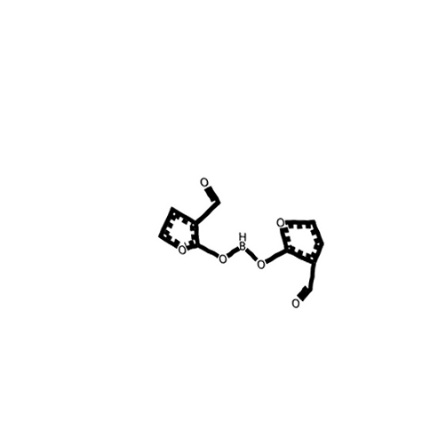 O=Cc1ccoc1OBOc1occc1C=O